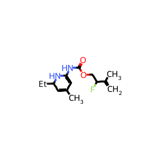 C=C(C)C(F)COC(=O)NC1=CC(C)=CC(CC)N1